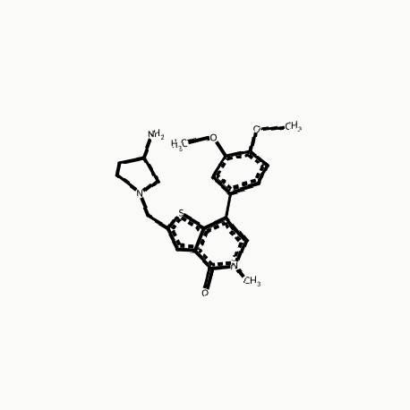 COc1ccc(-c2cn(C)c(=O)c3cc(CN4CCC(N)C4)sc23)cc1OC